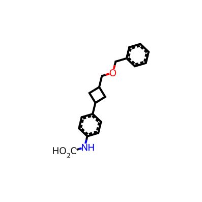 O=C(O)Nc1ccc(C2CC(COCc3ccccc3)C2)cc1